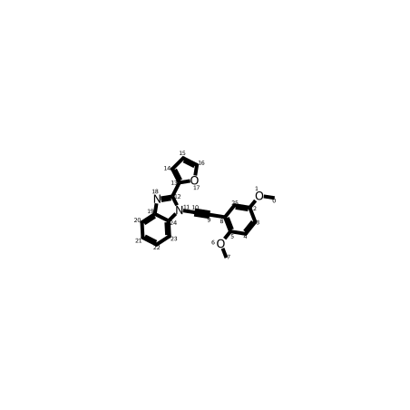 COc1ccc(OC)c(C#Cn2c(-c3ccco3)nc3ccccc32)c1